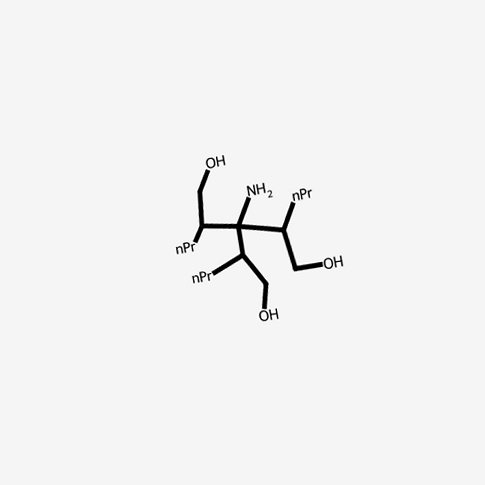 CCCC(CO)C(N)(C(CO)CCC)C(CO)CCC